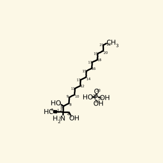 C#CC(N)(CO)C(O)CCCCCCCCCCCCCCC.O=P(O)(O)O